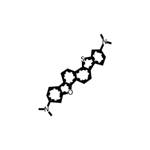 CN(C)c1ccc2c(c1)oc1c2ccc2c1ccc1c3ccc(N(C)C)cc3sc12